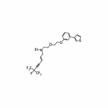 CCN(C/C=C/C#CC(F)(C(F)(F)F)C(F)(F)F)CCOCCOc1cccc(-c2ccsc2)c1